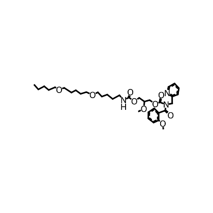 CCCCCOCCCCCOCCCCCNC(=O)OCC(COC(=O)N(Cc1ccccn1)C(=O)c1ccccc1OC)OC